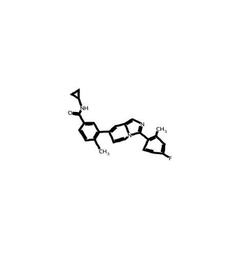 Cc1ccc(C(=O)NC2CC2)cc1-c1ccn2c(-c3ccc(F)cc3C)ncc2c1